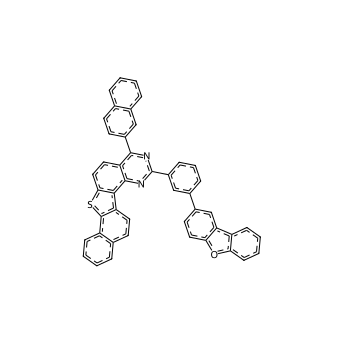 c1cc(-c2ccc3oc4ccccc4c3c2)cc(-c2nc(-c3ccc4ccccc4c3)c3ccc4sc5c6ccccc6ccc5c4c3n2)c1